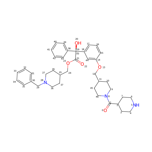 O=C(C1CCNCC1)N1CCC(COc2cccc([C@](O)(C(=O)OCC3CCN(Cc4ccccc4)CC3)c3ccccc3)c2)CC1